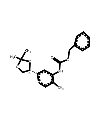 Cc1cnc([C@@H]2COC(C)(C)O2)cc1NC(=O)OCc1ccccc1